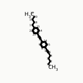 CCCCCC#Cc1ccc(C#Cc2ccc(CCCCC)cc2)cc1